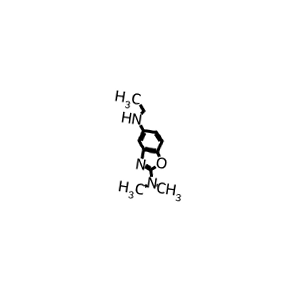 CCNc1ccc2oc(N(C)C)nc2c1